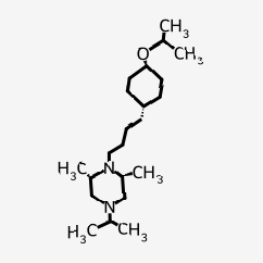 CC(C)O[C@H]1CC[C@H](CCCCN2[C@@H](C)CN(C(C)C)C[C@@H]2C)CC1